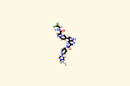 CN1CCN(c2ccc(NC(=O)c3cnc4[nH]cc(-c5ccc6ncc(C(=O)NCC(F)F)n6c5)c4c3)cn2)CC1